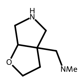 CNCC12CCOC1CNC2